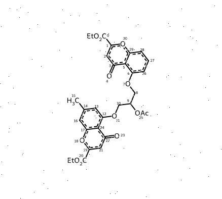 CCOC(=O)c1cc(=O)c2c(OCC(COc3cc(C)cc4oc(C(=O)OCC)cc(=O)c34)OC(C)=O)cccc2o1